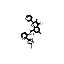 Cc1cc([C@@H](C)Nc2cccnc2-c2nn[nH]n2)c2oc(-c3cccnc3)c(C)c(=O)c2c1